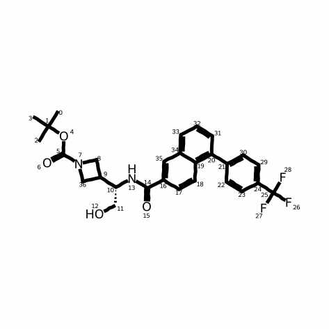 CC(C)(C)OC(=O)N1CC([C@@H](CO)NC(=O)c2ccc3c(-c4ccc(C(F)(F)F)cc4)cccc3c2)C1